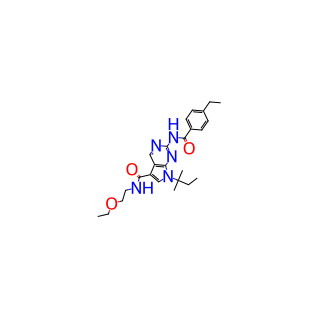 CCOCCNC(=O)c1cn(C(C)(C)CC)c2nc(NC(=O)c3ccc(CC)cc3)ncc12